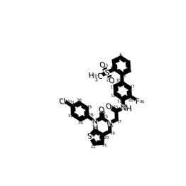 CS(=O)(=O)c1ccccc1-c1ccc(NC(=O)CN(Cc2ccsc2)C(=O)Nc2ccc(Cl)cc2)c(F)c1